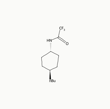 CCCC[C@H]1CC[C@H](NC(=O)C(F)(F)F)CC1